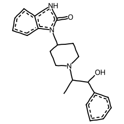 CC(C(O)c1ccccc1)N1CCC(n2c(=O)[nH]c3ccccc32)CC1